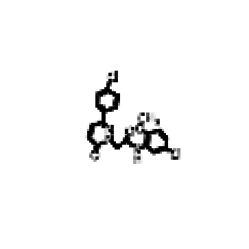 COc1ccc(Cl)cc1NC(=O)Cn1nc(-c2ccc(Cl)cc2)ccc1=O